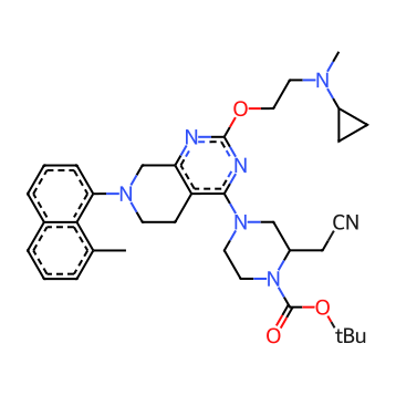 Cc1cccc2cccc(N3CCc4c(nc(OCCN(C)C5CC5)nc4N4CCN(C(=O)OC(C)(C)C)C(CC#N)C4)C3)c12